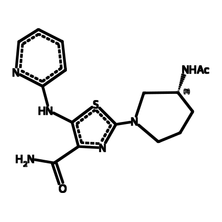 CC(=O)N[C@@H]1CCCN(c2nc(C(N)=O)c(Nc3ccccn3)s2)C1